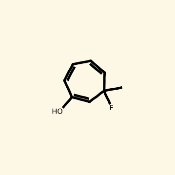 CC1(F)C=CC=CC(O)=C1